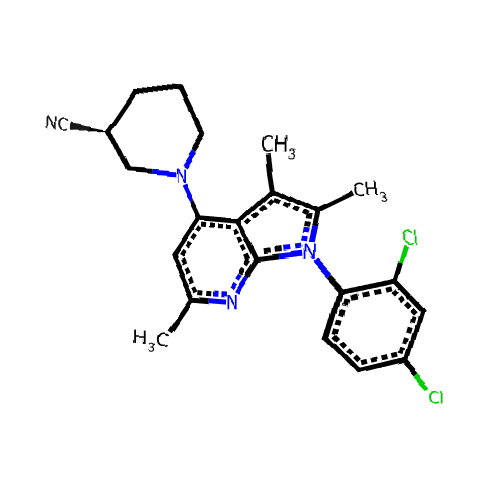 Cc1cc(N2CCC[C@H](C#N)C2)c2c(C)c(C)n(-c3ccc(Cl)cc3Cl)c2n1